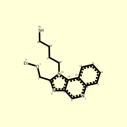 CCOCc1nc2cnc3ccccc3c2n1CCCCS